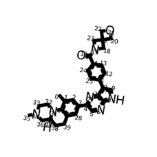 Cc1cc(-c2cnc3[nH]cc(-c4ccc(C(=O)N5CC6(COC6)C5)cc4)c3n2)cc2c1N1CCN(C)C[C@H]1CC2